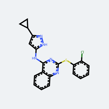 Clc1ccccc1Sc1nc(Nc2cc(C3CC3)n[nH]2)c2ccccc2n1